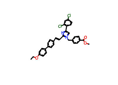 CCOc1ccc(-c2ccc(/C=C/c3nc(-c4ccc(Cl)cc4Cl)cn3Cc3ccc(C(=O)OC)cc3)cc2)cc1